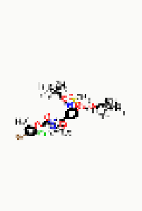 CC[Si](CC)(CC)O[C@@H](CNC(=O)COc1c(C)cc(Br)cc1Cl)c1ccc(OCOCC[Si](C)(C)C)c(N(COCC[Si](C)(C)C)S(C)(=O)=O)c1